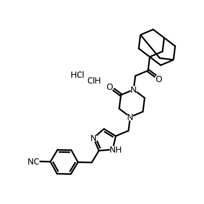 Cl.Cl.N#Cc1ccc(Cc2ncc(CN3CCN(CC(=O)C45CC6CC(CC(C6)C4)C5)C(=O)C3)[nH]2)cc1